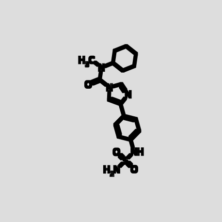 CN(C(=O)n1cnc(-c2ccc(NS(N)(=O)=O)cc2)c1)C1CCCCC1